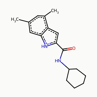 Cc1cc(C)c2cc(C(=O)NC3CCCCC3)[nH]c2c1